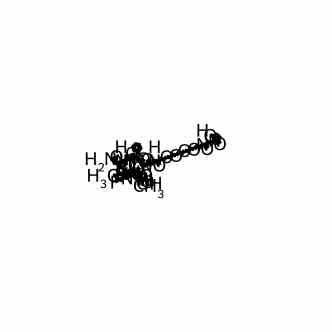 CC[C@@]1(O)C(=O)OCc2c1cc1n(c2=O)Cc2c-1nc1cc(F)c(C)c3c1c2CC(C(CC(N)=O)NC(=O)CNC(=O)[C@H](Cc1ccccc1)NC(=O)CNC(=O)CNC(=O)CCOCCOCCOCCOCCNC(=O)CCN1C(=O)C=CC1=O)C3